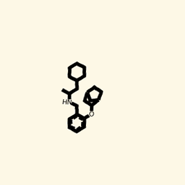 CC(CC1CCCCC1)NCc1ccccc1OC1CC2CCC1C2